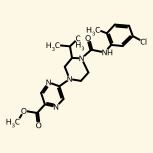 COC(=O)c1cnc(N2CCN(C(=O)Nc3cc(Cl)ccc3C)C(C(C)C)C2)cn1